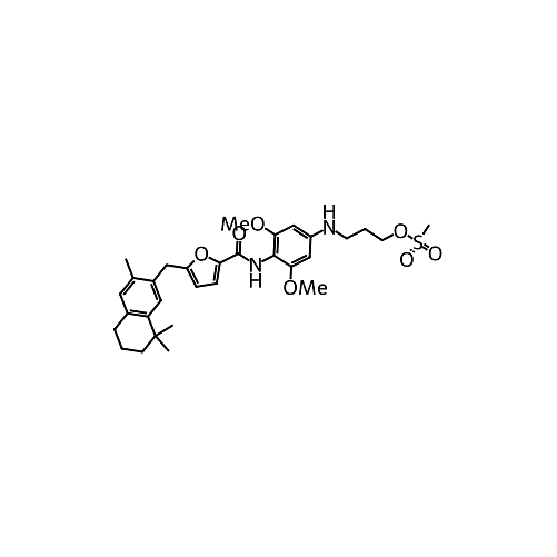 COc1cc(NCCCOS(C)(=O)=O)cc(OC)c1NC(=O)c1ccc(Cc2cc3c(cc2C)CCCC3(C)C)o1